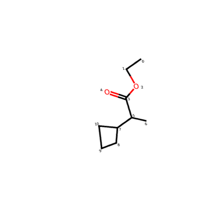 C[CH]OC(=O)C(C)C1CCC1